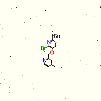 Cc1ccnc(COc2ccc(C(C)(C)C)nc2Br)c1